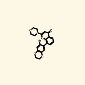 O=c1cc(N2CCOCC2)oc2c(-c3cc4c(cc3Br)OCCO4)cccc12